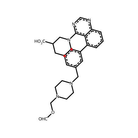 O=COCN1CCN(Cc2cccc(-c3cccc4ncnc(N5CCCC(C(=O)O)C5)c34)c2)CC1